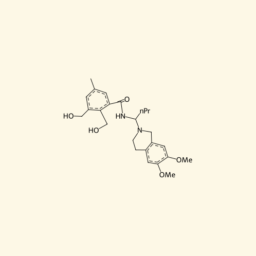 CCCC(NC(=O)c1cc(C)cc(CO)c1CO)N1CCc2cc(OC)c(OC)cc2C1